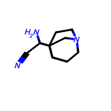 N#CC(N)C12CCCN(CC1)C2